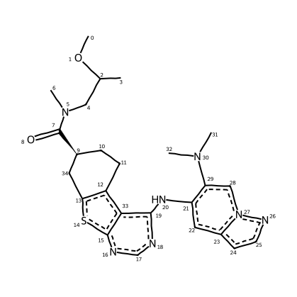 COC(C)CN(C)C(=O)[C@H]1CCc2c(sc3ncnc(Nc4cc5ccnn5cc4N(C)C)c23)C1